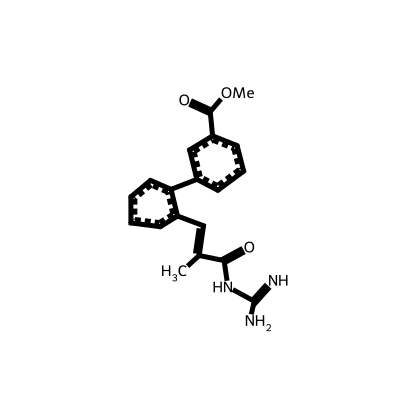 COC(=O)c1cccc(-c2ccccc2/C=C(\C)C(=O)NC(=N)N)c1